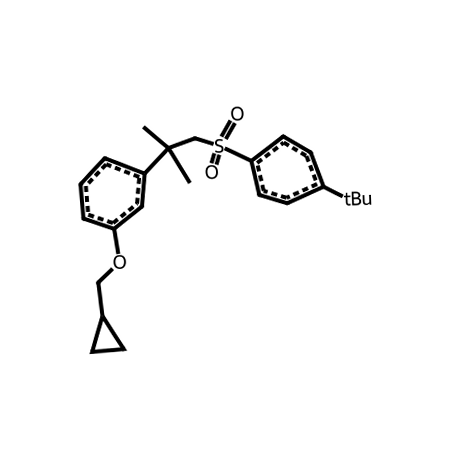 CC(C)(C)c1ccc(S(=O)(=O)CC(C)(C)c2cccc(OCC3CC3)c2)cc1